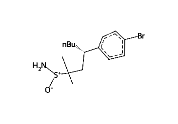 CCCC[C@@H](CC(C)(C)[S+](N)[O-])c1ccc(Br)cc1